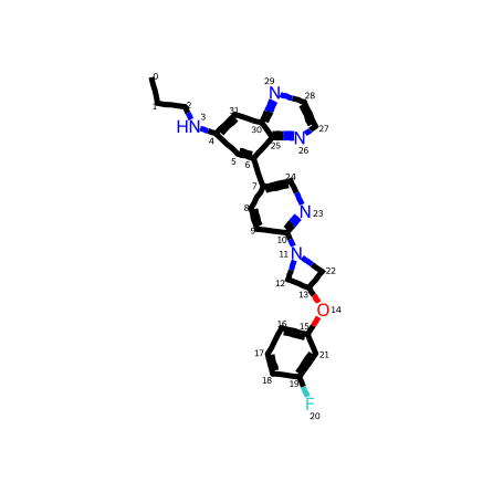 CCCNc1cc(-c2ccc(N3CC(Oc4cccc(F)c4)C3)nc2)c2nccnc2c1